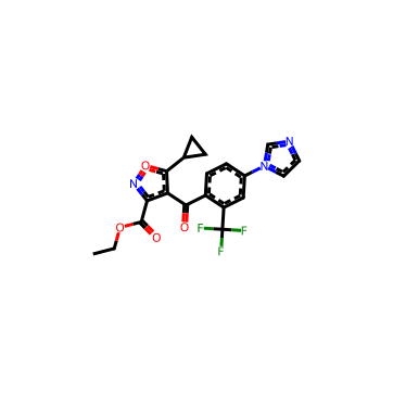 CCOC(=O)c1noc(C2CC2)c1C(=O)c1ccc(-n2ccnc2)cc1C(F)(F)F